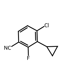 N#Cc1ccc(Cl)c(C2CC2)c1F